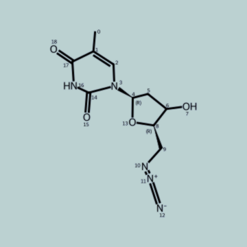 Cc1cn([C@H]2CC(O)[C@@H](CN=[N+]=[N-])O2)c(=O)[nH]c1=O